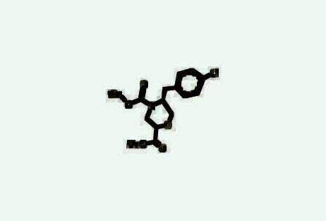 COC(=O)C1CN(C(=O)OC(C)(C)C)[C@@H](Cc2ccc(Cl)cc2)CO1